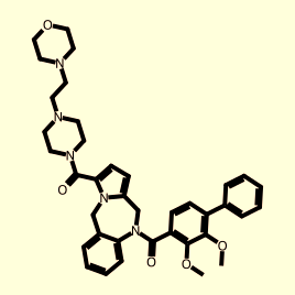 COc1c(C(=O)N2Cc3ccc(C(=O)N4CCN(CCN5CCOCC5)CC4)n3Cc3ccccc32)ccc(-c2ccccc2)c1OC